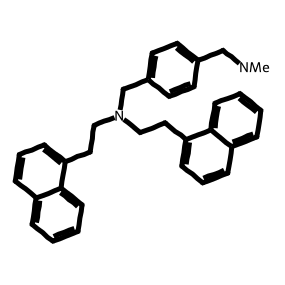 CNCc1ccc(CN(CCc2cccc3ccccc23)CCc2cccc3ccccc23)cc1